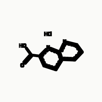 Cl.O=C(O)c1ccc2cccnc2n1